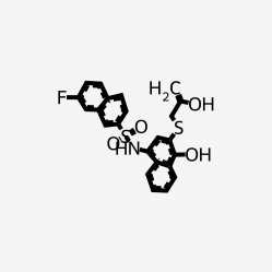 C=C(O)CSc1cc(NS(=O)(=O)c2ccc3ccc(F)cc3c2)c2ccccc2c1O